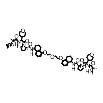 CN[C@@H](C)C(=O)N[C@H](C(=O)N1CCC[C@H]1C(=O)N[C@@H]1CCCc2c(OCCOCCOc3cccc4c3CCC[C@H]4NC(=O)[C@@H]3CCCN3C(=O)[C@@H](NC(=O)[C@H](C)NB3C=C3)C3CCOCC3)cccc21)C1CCOCC1